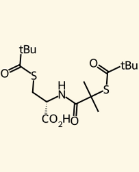 CC(C)(C)C(=O)SC[C@H](NC(=O)C(C)(C)SC(=O)C(C)(C)C)C(=O)O